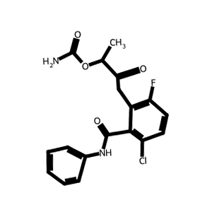 CC(OC(N)=O)C(=O)Cc1c(F)ccc(Cl)c1C(=O)Nc1ccccc1